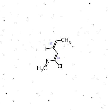 C=N/C(Cl)=C\C(I)=C/C